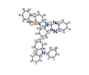 c1ccc(-n2c3ccccc3c3ccc(-c4cc5c6nc7ccccc7nc6n6c7ccc8c9ccccc9oc8c7c(c4)c56)cc32)cc1